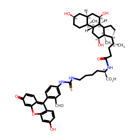 C[C@H](CCC(=O)N[C@H](CCCCNC(=S)Nc1ccc(-c2c3ccc(=O)cc-3oc3cc(O)ccc23)c(C=O)c1)C(=O)O)[C@H]1CCC2[C@@H]3[C@H](O)C[C@@H]4C[C@H](O)CC[C@]4(C)[C@H]3C[C@H](O)[C@@]21C